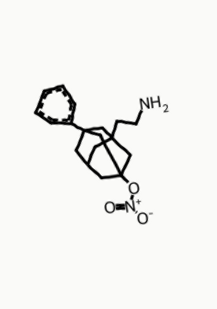 NCCC12CC3CC(O[N+](=O)[O-])(C1)CC(c1ccccc1)(C3)C2